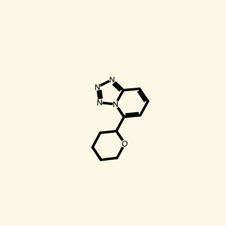 c1cc(C2CCCCO2)n2nnnc2c1